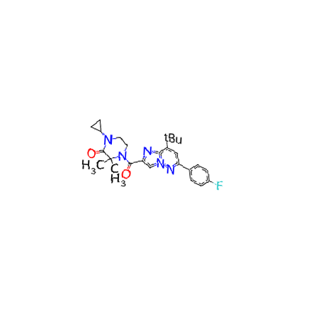 CC(C)(C)c1cc(-c2ccc(F)cc2)nn2cc(C(=O)N3CCN(C4CC4)C(=O)C3(C)C)nc12